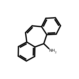 NC1c2ccccc2C=Cc2ccccc21